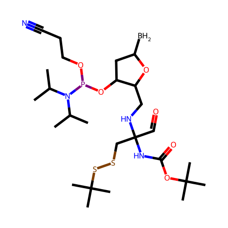 BC1CC(OP(OCCC#N)N(C(C)C)C(C)C)C(CNC(C=O)(CSSC(C)(C)C)NC(=O)OC(C)(C)C)O1